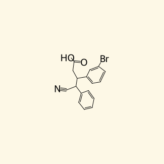 N#CC(c1ccccc1)C(CC(=O)O)c1cccc(Br)c1